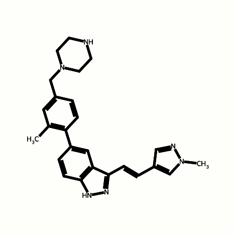 Cc1cc(CN2CCNCC2)ccc1-c1ccc2[nH]nc(C=Cc3cnn(C)c3)c2c1